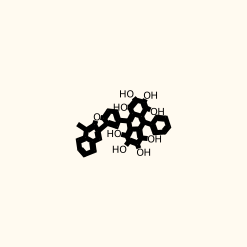 Cc1c2ccccc2cc2c1oc1ccc(-c3c4c(O)c(O)c(O)c(O)c4c(-c4ccccc4)c4c(O)c(O)c(O)c(O)c34)cc12